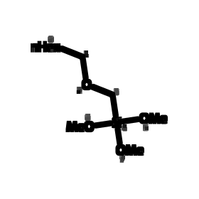 CCCCCCCOC[Si](OC)(OC)OC